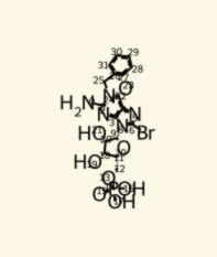 Nc1nc2c(nc(Br)n2[C@@H]2O[C@H](COP(=O)(O)O)[C@@H](O)[C@H]2O)c(=O)n1Cc1ccccc1